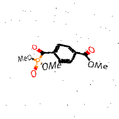 COC(=O)c1ccc(C(=O)P(=O)(OC)OC)cc1